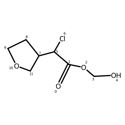 O=C(OCO)C(Cl)C1CCOC1